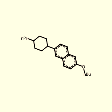 CCCCOc1ccc2cc(C3CCC(CCC)CC3)ccc2c1